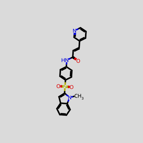 Cn1c(S(=O)(=O)c2ccc(NC(=O)/C=C/c3cccnc3)cc2)cc2ccccc21